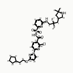 CC1(C)CC(CC(F)(F)CNc2cccc(S(=O)(=O)NC(=O)c3ccc(-n4ccc(OCCC5CCCC5)n4)nc3Cl)n2)CN1